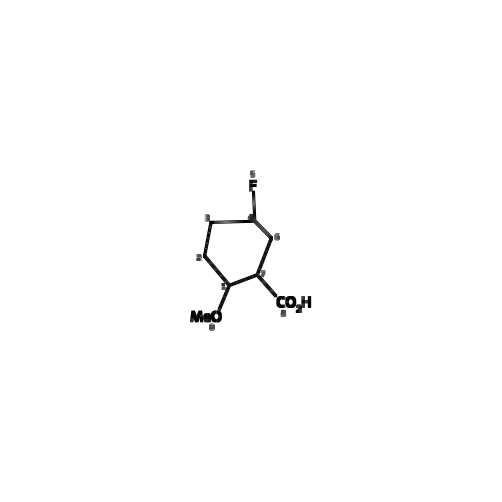 COC1CCC(F)CC1C(=O)O